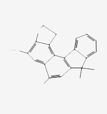 CCC1(O)c2ccccc2-c2c1cc(O)c1cc(OC)c3c(c21)CCO3